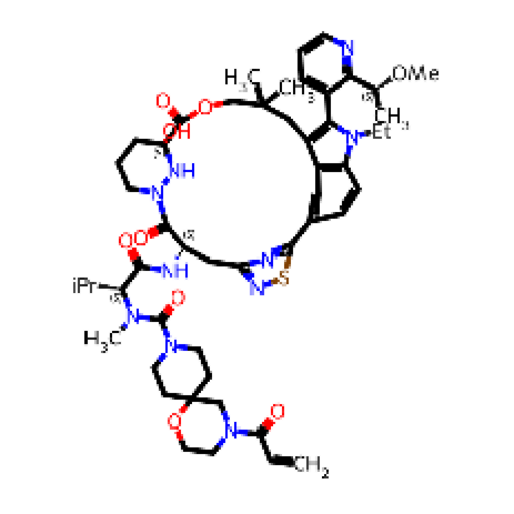 C=CC(=O)N1CCOC2(CCN(C(=O)N(C)[C@H](C(=O)N[C@H]3Cc4nsc(n4)-c4ccc5c(c4)c(c(-c4cccnc4[C@H](C)OC)n5CC)CC(C)(C)COC(=O)[C@@]4(O)CCCN(N4)C3=O)C(C)C)CC2)C1